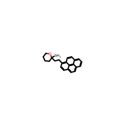 [SiH3]C1(CCc2ccc3ccc4cccc5ccc2c3c45)CCCCO1